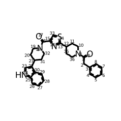 O=C(Cc1ccccc1)N1CCC(c2nc(C(=O)N3CCC(c4c[nH]c5ccccc45)CC3)cs2)CC1